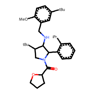 COc1ccc(C(C)(C)C)cc1CNC1C(c2ccccc2C(C)C)N(C(=O)C2CCCO2)CC1C(C)(C)C